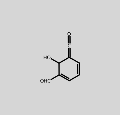 O=C=C1C=CC=C(C=O)C1O